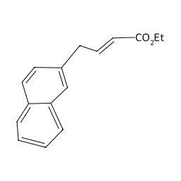 CCOC(=O)/C=C/Cc1ccc2ccccc2c1